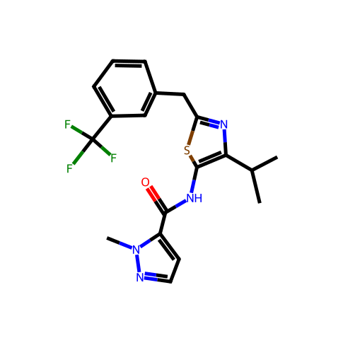 CC(C)c1nc(Cc2cccc(C(F)(F)F)c2)sc1NC(=O)c1ccnn1C